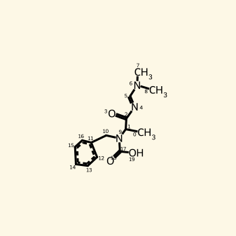 CC(C(=O)/N=C/N(C)C)N(Cc1ccccc1)C(=O)O